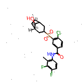 Cc1c(NC(=O)c2ccc(Cl)c(S(=O)(=O)C3CC4[C@@H](C)C[C@@H](C3)[C@@]4(C)O)c2)ccc(F)c1F